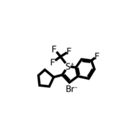 Fc1ccc2cc(C3CCCC3)[s+](C(F)(F)F)c2c1.[Br-]